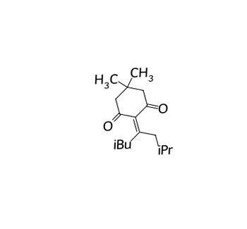 CCC(C)C(CC(C)C)=C1C(=O)CC(C)(C)CC1=O